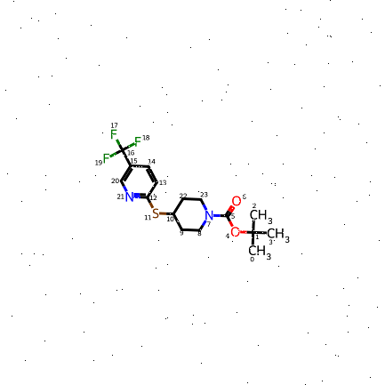 CC(C)(C)OC(=O)N1CCC(Sc2ccc(C(F)(F)F)cn2)CC1